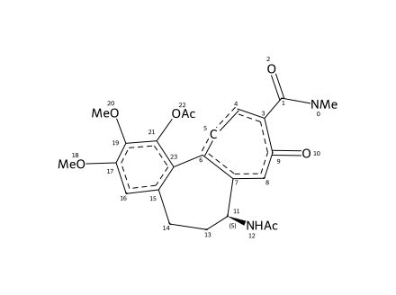 CNC(=O)c1ccc2c(cc1=O)[C@@H](NC(C)=O)CCc1cc(OC)c(OC)c(OC(C)=O)c1-2